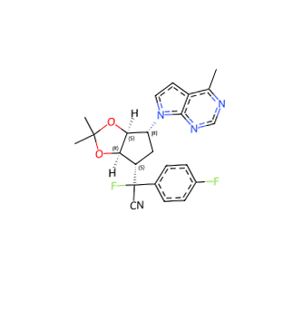 Cc1ncnc2c1ccn2[C@@H]1C[C@H](C(F)(C#N)c2ccc(F)cc2)[C@H]2OC(C)(C)O[C@H]21